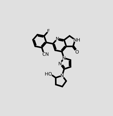 N#Cc1cccc(F)c1-c1cc(-n2ccc(N3CCCC3O)n2)c2c(n1)CNC2=O